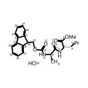 COC(=O)[C@H](CC(C)C)NC(=O)[C@@H](C)NC(=O)OCC1c2ccccc2-c2ccccc21.Cl